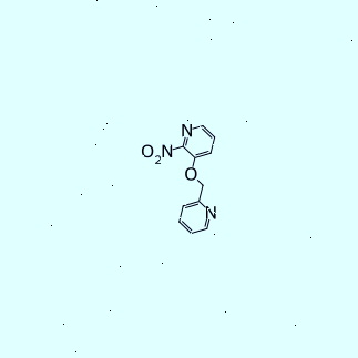 O=[N+]([O-])c1ncccc1OCc1ccccn1